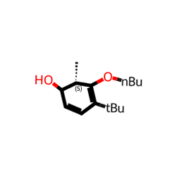 CCCCOC1=C(C(C)(C)C)C=CC(O)[C@@H]1C